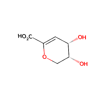 O=C(O)C1=C[C@H](O)[C@H](O)CO1